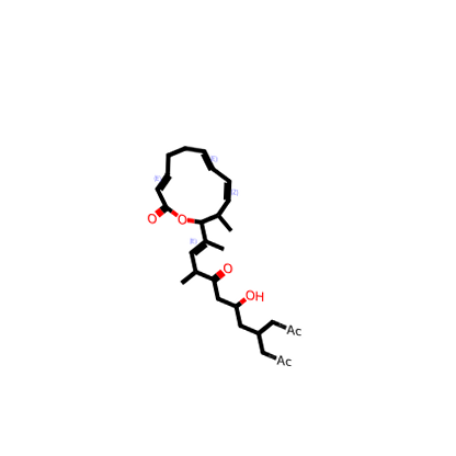 CC(=O)CC(CC(C)=O)CC(O)CC(=O)C(C)/C=C(\C)C1OC(=O)/C=C/CC/C=C/C=C\C1C